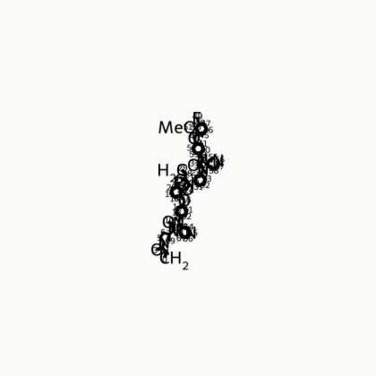 C=CC(=O)N1CCC(n2c(=O)n(-c3ccc(Oc4cccc(F)c4ON(C(=O)C=C)c4cccc(-n5c(=O)n(-c6ccc(Oc7cccc(F)c7OC)cc6)c6cnccc65)c4)cc3)c3cnccc32)C1